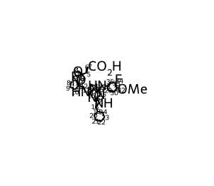 CC[N+]1(OC(=O)C=CC(=O)O)CCCC1CNc1nc(NCC2CCCCC2)nc(Nc2ccc(OC)c(F)c2)n1